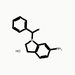 Cl.Nc1ccc2c(c1)N(C(I)c1ccccc1)CC2